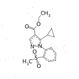 CCOC(=O)c1cnn(-c2ccccc2S(C)(=O)=O)c1C1CC1